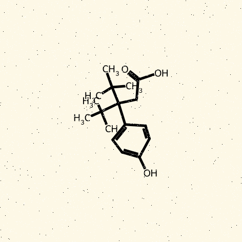 CC(C)(C)C(CC(=O)O)(c1ccc(O)cc1)C(C)(C)C